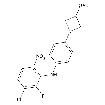 CC(=O)OC1CN(c2ccc(Nc3c([N+](=O)[O-])ccc(Cl)c3F)cc2)C1